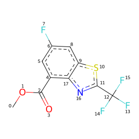 COC(=O)c1cc(F)cc2sc(C(F)(F)F)nc12